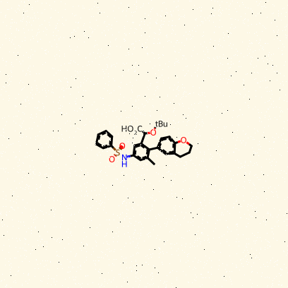 Cc1cc(NS(=O)(=O)c2ccccc2)cc(C(OC(C)(C)C)C(=O)O)c1-c1ccc2c(c1)CCCO2